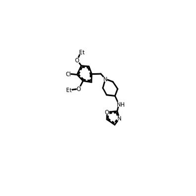 CCOc1cc(CN2CCC(Nc3ncco3)CC2)cc(OCC)c1Cl